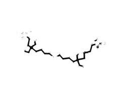 CCC(CC)(CCCCOCCCCC(CC)(CC)CCS(C)(=O)=O)CCCCS(N)(=O)=O